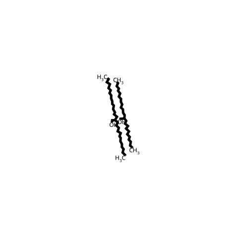 CCCCCCCCCCCCCCC(CO)CCCCCCCCCCCC.CCCCCCCCCCCCCCCCC(CO)CCCCCCCCCCCCCC